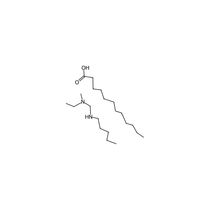 CCCCCCCCCCCC(=O)O.CCCCCNCN(C)CC